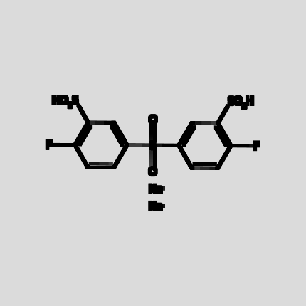 O=S(=O)(O)c1cc(S(=O)(=O)c2ccc(F)c(S(=O)(=O)O)c2)ccc1F.[Na].[Na]